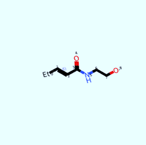 CC/C=C/C(=O)NCC[O]